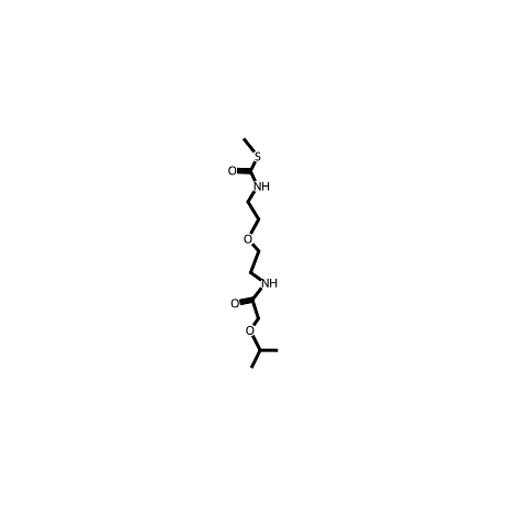 CSC(=O)NCCOCCNC(=O)COC(C)C